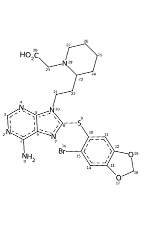 Nc1ncnc2c1nc(Sc1cc3c(cc1Br)OCO3)n2CCC1CCCCN1CC(=O)O